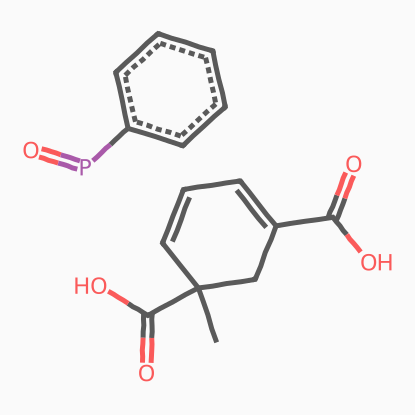 CC1(C(=O)O)C=CC=C(C(=O)O)C1.O=Pc1ccccc1